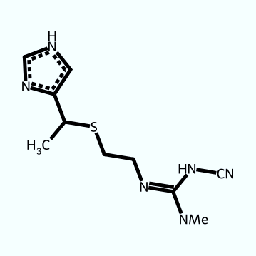 CN/C(=N/CCSC(C)c1c[nH]cn1)NC#N